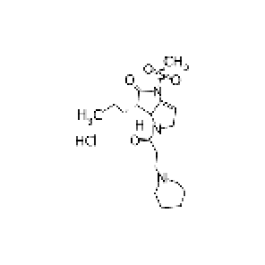 CCC[C@@H]1C(=O)N(S(C)(=O)=O)C2=CCN(C(=O)CCN3CCCCC3)[C@H]21.Cl